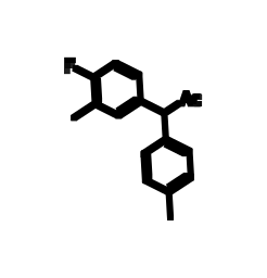 CC(=O)C(c1ccc(C)cc1)c1ccc(F)c(C)c1